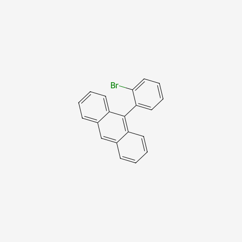 Brc1ccccc1-c1c2ccccc2cc2ccccc12